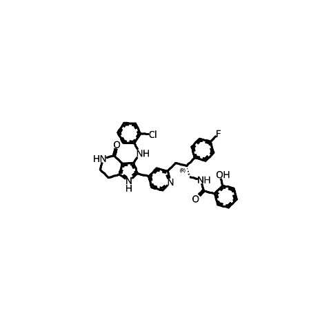 O=C(NC[C@H](Cc1cc(-c2[nH]c3c(c2Nc2ccccc2Cl)C(=O)NCC3)ccn1)c1ccc(F)cc1)c1ccccc1O